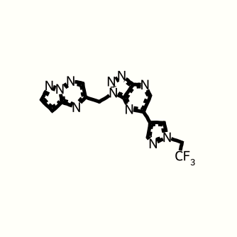 FC(F)(F)Cn1cc(-c2cnc3nnn(Cc4cnn5nccc5n4)c3n2)cn1